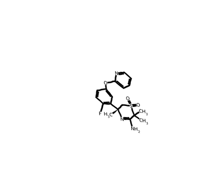 CC1(C)C(N)=N[C@](C)(c2cc(Oc3ccccn3)ccc2F)CS1(=O)=O